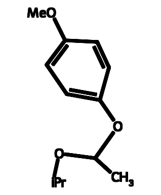 COc1ccc(OC(C)OC(C)C)cc1